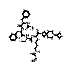 CC(C)C[C@@H](NC(=O)[C@@H](Cc1ccccc1)NC(=O)[C@@H](Cc1ccccc1)NC(=O)OC(C)(C)C)C(=O)N[C@H](CCCCNC(=O)OC(C)(C)C)C(=O)N1CC2(CCN(C3COC3)CC2)C1